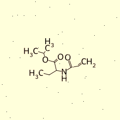 C=CC(=O)NC(CC)C(=O)OC(C)C